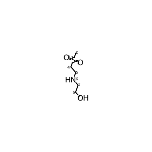 CS(=O)(=O)CCNCCO